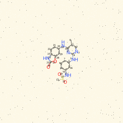 Cc1cnc(Nc2cccc(NS(C)(=O)=O)c2)nc1Nc1ccc2[nH]c(=O)oc2c1